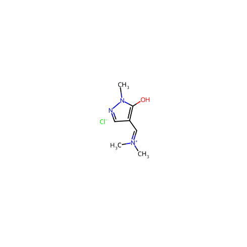 Cn1ncc(C=[N+](C)C)c1O.[Cl-]